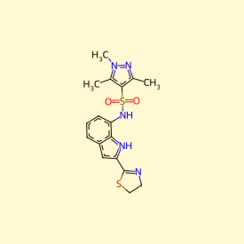 Cc1nn(C)c(C)c1S(=O)(=O)Nc1cccc2cc(C3=NCCS3)[nH]c12